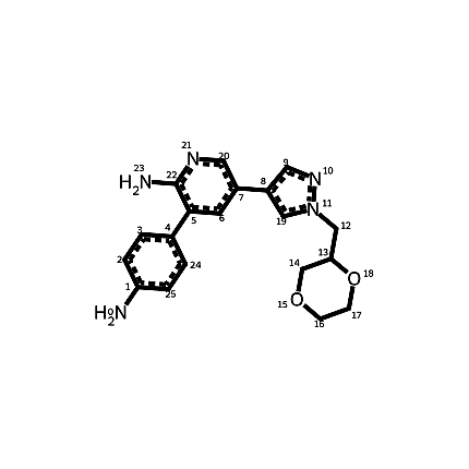 Nc1ccc(-c2cc(-c3cnn(CC4COCCO4)c3)cnc2N)cc1